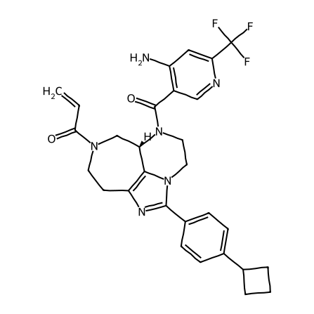 C=CC(=O)N1CCc2nc(-c3ccc(C4CCC4)cc3)n3c2[C@H](C1)N(C(=O)c1cnc(C(F)(F)F)cc1N)CC3